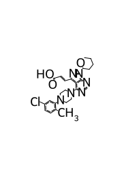 Cc1ccc(Cl)cc1N1CCN(c2ncnc3c2c(C=CC(=O)O)nn3C2CCCCO2)CC1